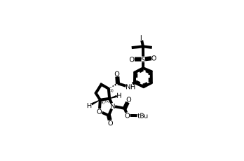 CC(C)(C)OC(=O)N1C(=O)O[C@@H]2CC[C@H](C(=O)Nc3cccc(S(=O)(=O)C(C)(C)I)c3)[C@@H]21